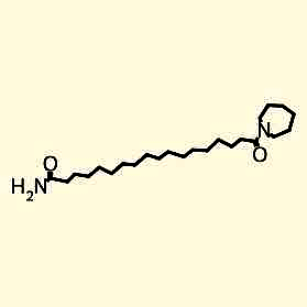 NC(=O)CCCCCCCCCCCCCCCCC(=O)N1CCCCCC1